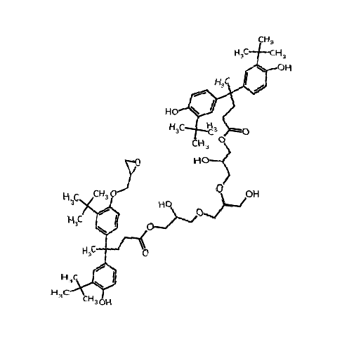 CC(C)(C)c1cc(C(C)(CCC(=O)OCC(O)COCC(CO)OCC(O)COC(=O)CCC(C)(c2ccc(O)c(C(C)(C)C)c2)c2ccc(O)c(C(C)(C)C)c2)c2ccc(OCC3CO3)c(C(C)(C)C)c2)ccc1O